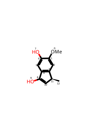 COc1cc2c(cc1O)C(O)=C[C@@H]2C